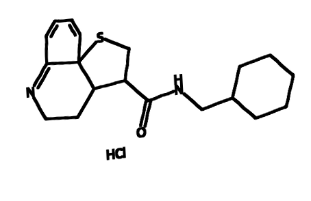 Cl.O=C(NCC1CCCCC1)C1CSC23C=CC=CC2=NCCC13